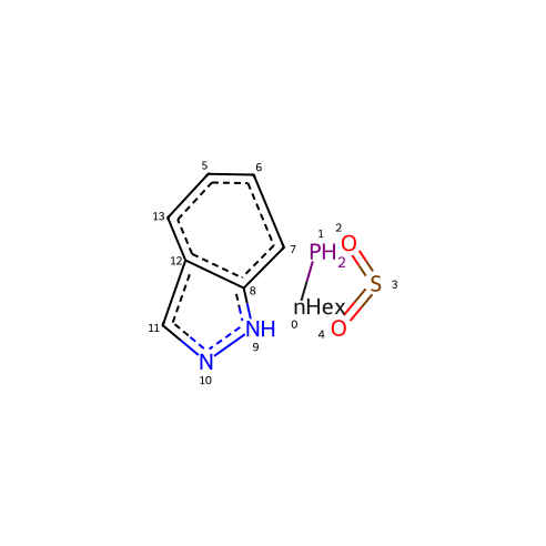 CCCCCCP.O=S=O.c1ccc2[nH]ncc2c1